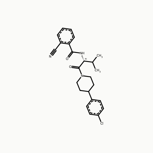 CC(C)[C@@H](NC(=O)c1ccccc1C#N)C(=O)N1CCC(c2ccc(Cl)cc2)CC1